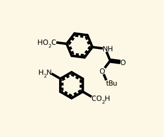 CC(C)(C)OC(=O)Nc1ccc(C(=O)O)cc1.Nc1ccc(C(=O)O)cc1